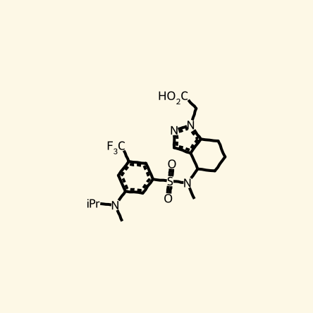 CC(C)N(C)c1cc(C(F)(F)F)cc(S(=O)(=O)N(C)C2CCCc3c2cnn3CC(=O)O)c1